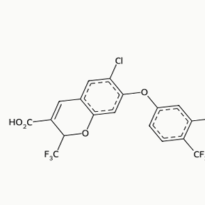 O=C(O)C1=Cc2cc(Cl)c(Oc3ccc(C(F)(F)F)c(Cl)c3)cc2OC1C(F)(F)F